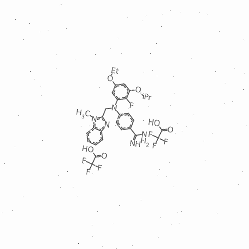 CCOc1cc(OC(C)C)c(F)c(N(Cc2nc3ccccc3n2C)c2ccc(C(=N)N)cc2)c1.O=C(O)C(F)(F)F.O=C(O)C(F)(F)F